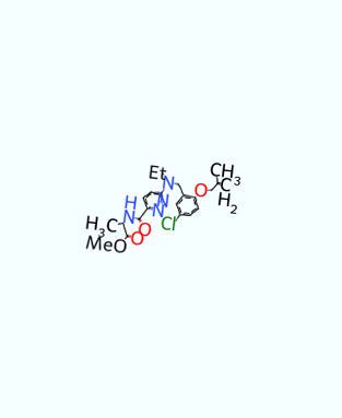 C=C(C)COc1ccc(Cl)cc1CN(CC)c1ccc(C(=O)NC(C)C(=O)OC)nn1